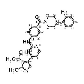 Cc1ncc(-c2ccnc(Nc3ccc(C(=O)N4CCN(c5ccccc5F)CC4)cc3)n2)n1C(C)C